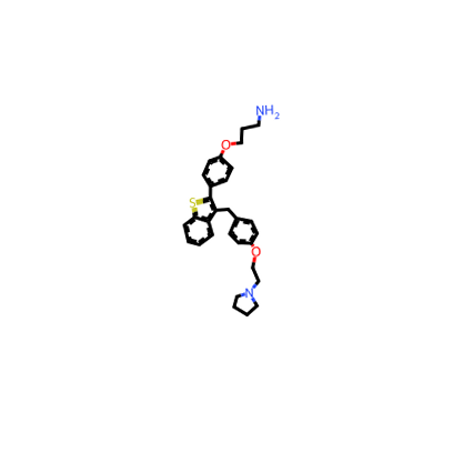 NCCCOc1ccc(-c2sc3ccccc3c2Cc2ccc(OCCN3CCCC3)cc2)cc1